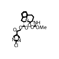 COC(=O)N[C@H]1CCc2cccc3c2N(C1=O)[C@H](C(=O)OCC(=O)c1cnc(Cl)nc1)C3